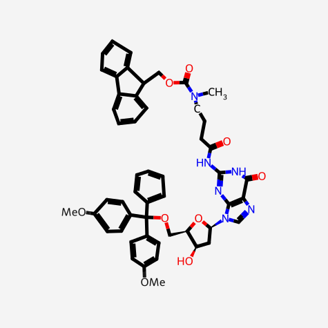 COc1ccc(C(OC[C@H]2O[C@@H](n3cnc4c(=O)[nH]c(NC(=O)CCCN(C)C(=O)OCC5c6ccccc6-c6ccccc65)nc43)C[C@H]2O)(c2ccccc2)c2ccc(OC)cc2)cc1